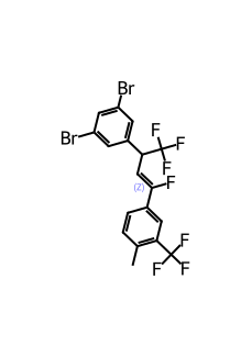 Cc1ccc(/C(F)=C/C(c2cc(Br)cc(Br)c2)C(F)(F)F)cc1C(F)(F)F